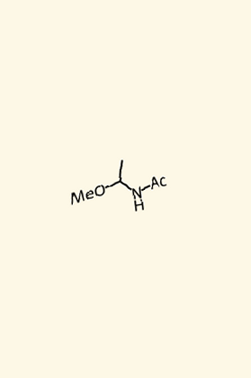 [CH2]C(=O)NC(C)OC